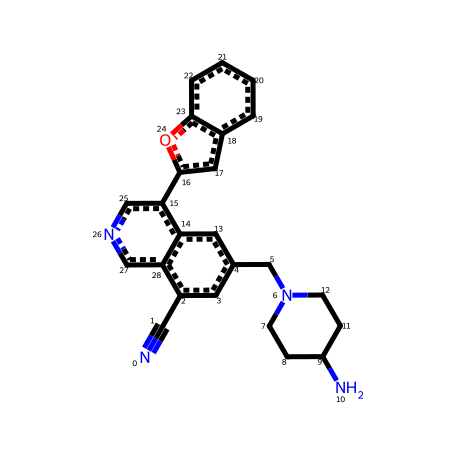 N#Cc1cc(CN2CCC(N)CC2)cc2c(-c3cc4ccccc4o3)cncc12